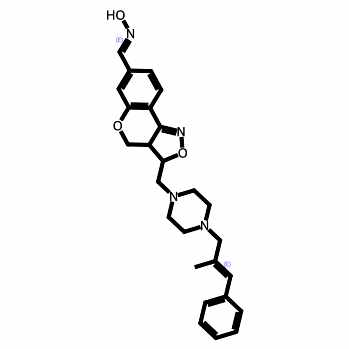 C/C(=C\c1ccccc1)CN1CCN(CC2ON=C3c4ccc(/C=N/O)cc4OCC32)CC1